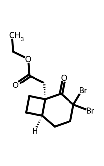 CCOC(=O)C[C@@]12CC[C@@H]1CCC(Br)(Br)C2=O